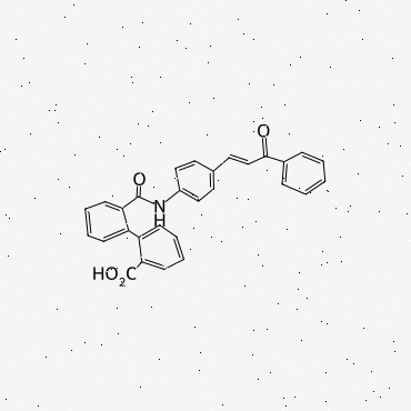 O=C(C=Cc1ccc(NC(=O)c2ccccc2-c2ccccc2C(=O)O)cc1)c1ccccc1